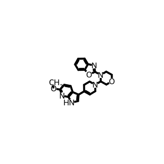 COc1ccc2c(C3=CCN(C4COCCN4c4nc5ccccc5o4)CC3)c[nH]c2n1